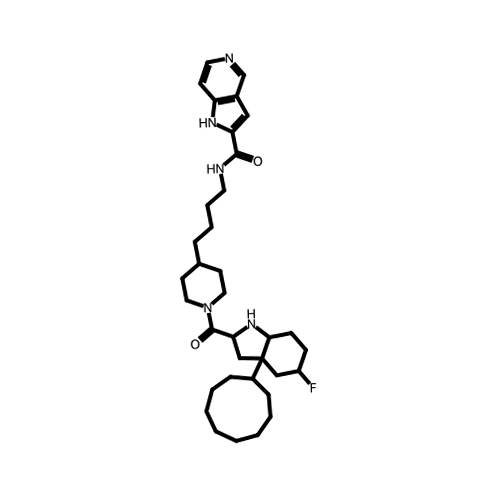 O=C(NCCCCC1CCN(C(=O)C2CC3(C4CCCCCCCC4)CC(F)CCC3N2)CC1)c1cc2cnccc2[nH]1